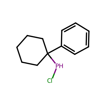 ClPC1(c2ccccc2)CCCCC1